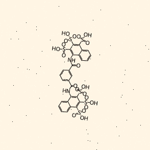 O=C(Nc1c(S(=O)(=O)O)c(S(=O)(=O)O)c(S(=O)(=O)O)c2ccccc12)c1cccc(C(=O)Nc2c(S(=O)(=O)O)c(S(=O)(=O)O)c(S(=O)(=O)O)c3ccccc23)c1